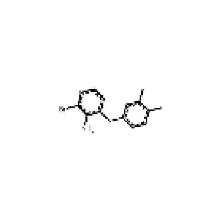 Cc1ccc(Sc2ccnc(Br)c2N)cc1C